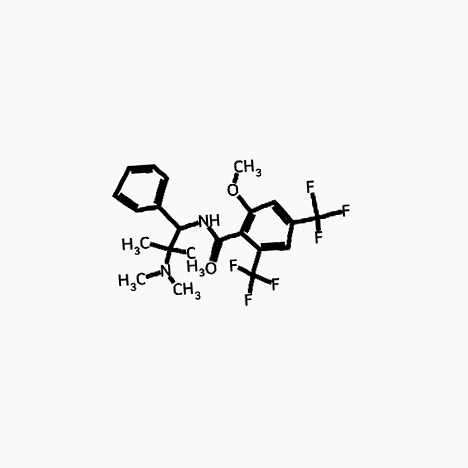 COc1cc(C(F)(F)F)cc(C(F)(F)F)c1C(=O)NC(c1ccccc1)C(C)(C)N(C)C